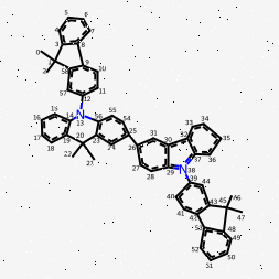 CC1(C)c2ccccc2-c2ccc(N3c4ccccc4C(C)(C)c4cc(-c5ccc6c(c5)c5ccccc5n6-c5ccc6c(c5)C(C)(C)c5ccccc5-6)ccc43)cc21